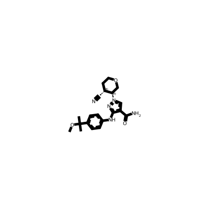 COC(C)(C)c1ccc(Nc2nn([C@H]3COCC[C@H]3C#N)cc2C(N)=O)cc1